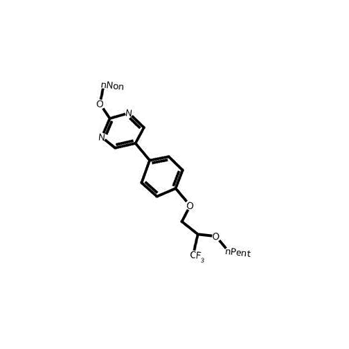 CCCCCCCCCOc1ncc(-c2ccc(OCC(OCCCCC)C(F)(F)F)cc2)cn1